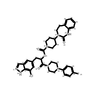 O=C(OC(Cc1cc(Cl)c2[nH]ncc2c1)C(=O)N1CCN(c2ccc(F)cc2)CC1)N1CCC(N2CCc3ccccc3NC2=O)CC1